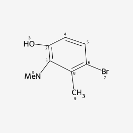 CNc1c(O)ccc(Br)c1C